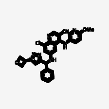 COc1ccc(Nc2c(C#N)cnc3c(Cl)cc(NC(c4ccccc4)c4cn(C5COC5)nn4)cc23)cn1